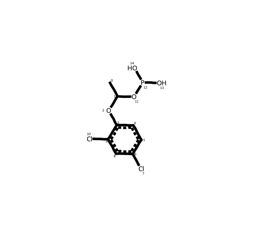 CC(Oc1ccc(Cl)cc1Cl)OP(O)O